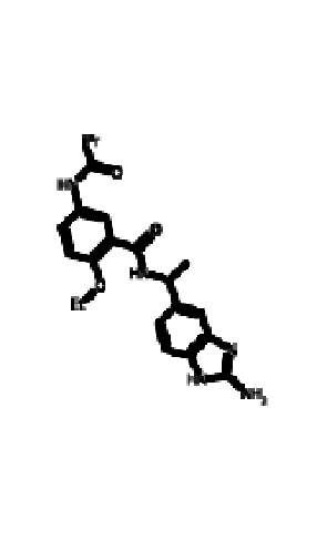 CCOc1ccc(NC(=O)C(C)C)cc1C(=O)NC(C)c1ccc2[nH]c(N)nc2c1